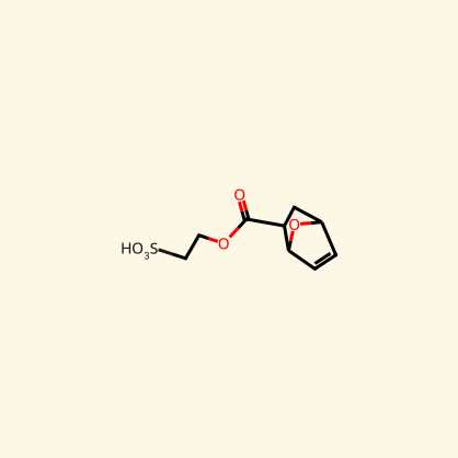 O=C(OCCS(=O)(=O)O)C1CC2C=CC1O2